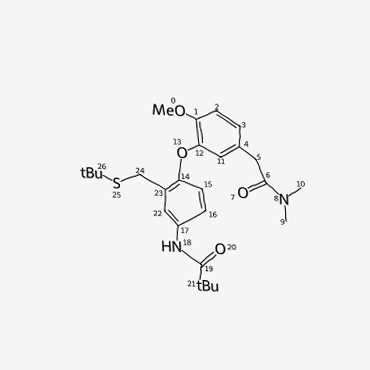 COc1ccc(CC(=O)N(C)C)cc1Oc1ccc(NC(=O)C(C)(C)C)cc1CSC(C)(C)C